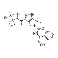 CCS(C)(C)C1(C(=O)Nc2n[nH]c3c2CN(C(=O)NC(CO)c2ccccc2)C3(C)C)CCC1